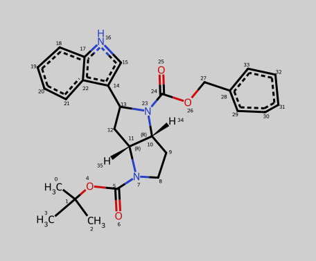 CC(C)(C)OC(=O)N1CC[C@@H]2[C@H]1CC(c1c[nH]c3ccccc13)N2C(=O)OCc1ccccc1